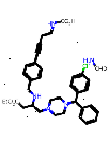 CCOC(=O)CC(CN1CCN(C(c2ccccc2)c2ccc(Cl)cc2)CC1)NCc1ccc(C#CCCNC(=O)O)cc1.NC=O